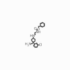 NCC1(c2cccc(Cl)c2)CCC(NCCNC(=O)OCc2ccccc2)CC1